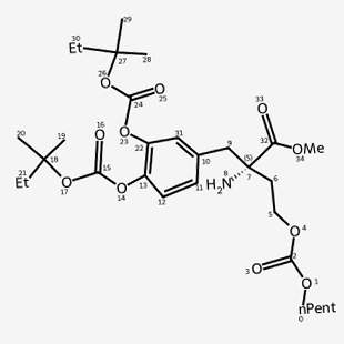 CCCCCOC(=O)OCC[C@@](N)(Cc1ccc(OC(=O)OC(C)(C)CC)c(OC(=O)OC(C)(C)CC)c1)C(=O)OC